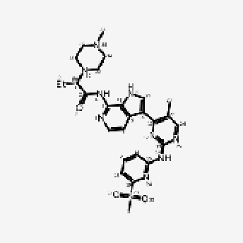 CC[C@H](C(=O)Nc1nccc2c(-c3nc(Nc4cccc(S(C)(=O)=O)n4)ncc3C)c[nH]c12)N1CCN(C)CC1